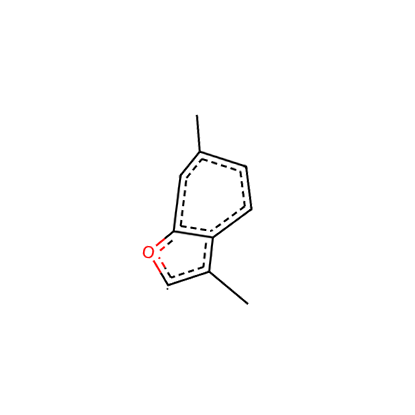 Cc1ccc2c(C)[c]oc2c1